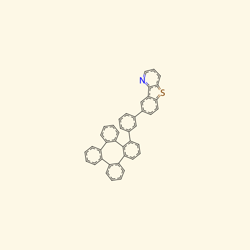 c1cc(-c2ccc3sc4cccnc4c3c2)cc(-c2cccc3c2-c2ccccc2-c2ccccc2-c2ccccc2-3)c1